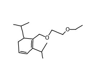 CCOCCOCC1=C(C(C)C)C=CCC1C(C)C